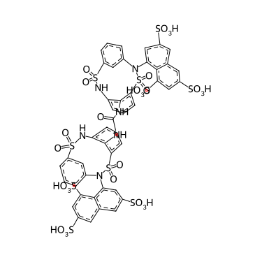 O=C(Nc1c2cccc1S(=O)(=O)N(c1cc(S(=O)(=O)O)cc3cc(S(=O)(=O)O)cc(S(=O)(=O)O)c13)c1cccc(c1)S(=O)(=O)N2)Nc1c2cccc1S(=O)(=O)N(c1cc(S(=O)(=O)O)cc3cc(S(=O)(=O)O)cc(S(=O)(=O)O)c13)c1cccc(c1)S(=O)(=O)N2